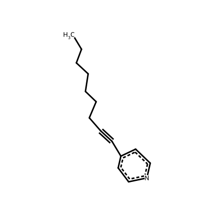 CCCCCCCC#Cc1ccncc1